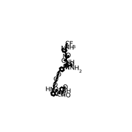 Cc1cccc(NCCOCCOCCOCc2ccc(-n3cc(NC(=O)c4coc(-c5ccnc(NCC(F)(F)F)c5)n4)c(C(N)=O)n3)cc2)c1C(=O)N(C=O)C1CCC(=O)NC1=O